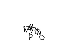 CCOCCn1c(CN2CCN(C3CCCCC3)CC2)nc2cccnc21